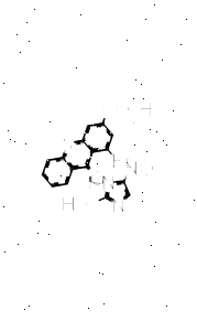 CCc1cc(C(=O)O)cc2sc3ccccc3c(=O)c12.Cc1ncc([N+](=O)[O-])[nH]1